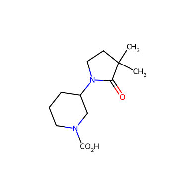 CC1(C)CCN(C2CCCN(C(=O)O)C2)C1=O